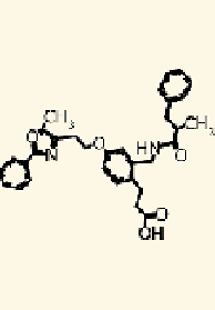 Cc1oc(-c2ccccc2)nc1CCOc1ccc(CCC(=O)O)c(CNC(=O)C(C)Cc2ccccc2)c1